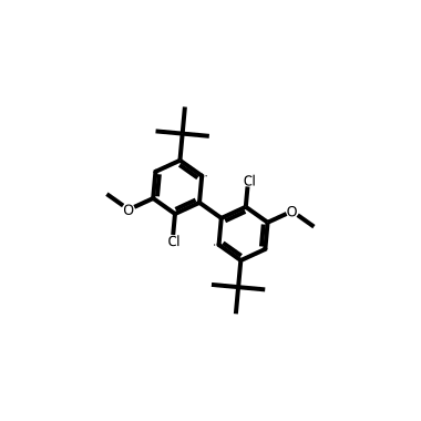 COc1cc(C(C)(C)C)[c]c(-c2[c]c(C(C)(C)C)cc(OC)c2Cl)c1Cl